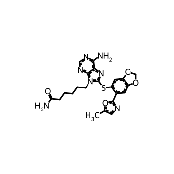 Cc1cnc(-c2cc3c(cc2Sc2nc4c(N)ncnc4n2CCCCCC(N)=O)OCO3)o1